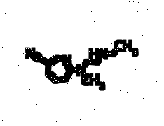 CCNCCN(C)C1=NC=C(C#N)C=CC1